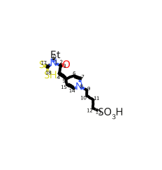 CCN(C(=O)C=C1C=CN(CCCCS(=O)(=O)O)C=C1)C(=S)S